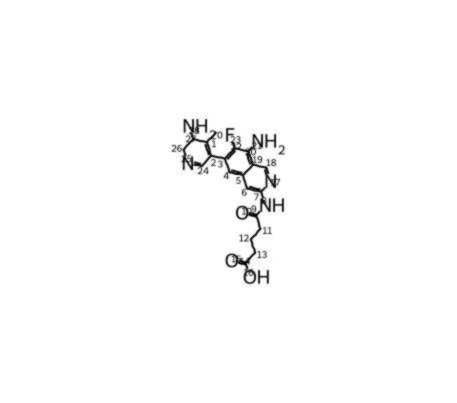 CC1=C(c2cc3cc(NC(=O)CCCC(=O)O)ncc3c(N)c2F)C=NCC1N